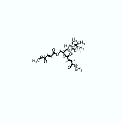 COC(=O)/C=C/C(=O)OCC(CO[Si](C)(C)C(C)(C)C)OC(=O)/C=C/C(=O)OC